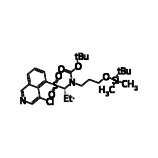 C[CH][C@@H](N(CCCO[Si](C)(C)C(C)(C)C)C(=O)OC(C)(C)C)S(=O)(=O)c1cccc2cncc(Cl)c12